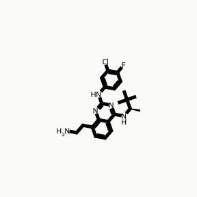 C[C@@H](Nc1nc(Nc2ccc(F)c(Cl)c2)nc2c(CCN)cccc12)C(C)(C)C